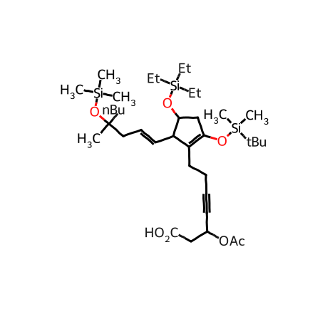 CCCCC(C)(C/C=C/C1C(CCC#CC(CC(=O)O)OC(C)=O)=C(O[Si](C)(C)C(C)(C)C)CC1O[Si](CC)(CC)CC)O[Si](C)(C)C